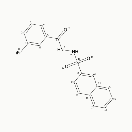 CC(C)c1cccc(C(=O)NNS(=O)(=O)c2ccc3ccccc3c2)c1